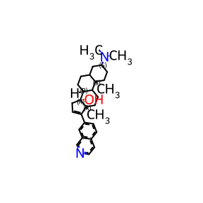 CN(C)[C@H]1CC[C@@]2(C)C(CC[C@@H]3C2CC[C@]2(C)C(c4ccc5ccncc5c4)=CC[C@@]32O)C1